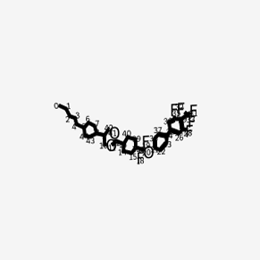 CCCCCC1CCC(C2COC(C3CCC(C(F)(F)Oc4ccc(-c5cc(F)c(C(F)(F)F)c(F)c5)cc4)CC3)OC2)CC1